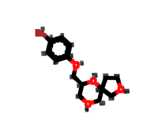 Brc1ccc(OC[C@@H]2COCC3(CCOC3)O2)cc1